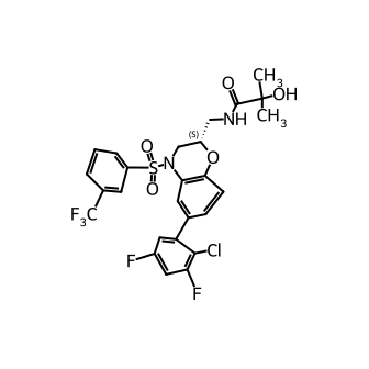 CC(C)(O)C(=O)NC[C@H]1CN(S(=O)(=O)c2cccc(C(F)(F)F)c2)c2cc(-c3cc(F)cc(F)c3Cl)ccc2O1